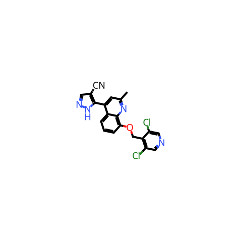 Cc1cc(-c2[nH]ncc2C#N)c2cccc(OCc3c(Cl)cncc3Cl)c2n1